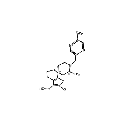 COc1cnc(CN2CC[C@]3(C[C@@H]2C)OCCc2c3sc(Cl)c2CO)cn1